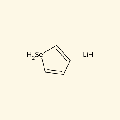 C1=C[SeH2]C=C1.[LiH]